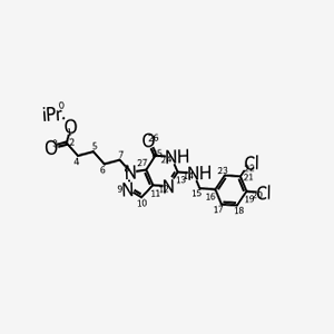 CC(C)OC(=O)CCCCn1ncc2nc(NCc3ccc(Cl)c(Cl)c3)[nH]c(=O)c21